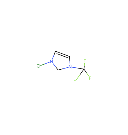 FC(F)(F)N1C=CN(Cl)C1